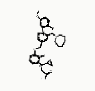 COc1ccc(F)c(-c2ccc(COc3cccc([C@H](CC(=O)O)C4CC4)c3F)cc2CN2CCCCCC2)c1